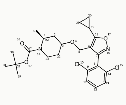 C[C@H]1CC(OCc2c(-c3c(Cl)cccc3Cl)noc2C2CC2)CCN1C(=O)OC(C)(C)C